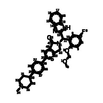 COCOc1ccc(F)cc1C(c1nc2ccccc2[nH]1)N1Cc2sc(-c3ccc(C4CCN(C)CC4)cc3)cc2C1=O